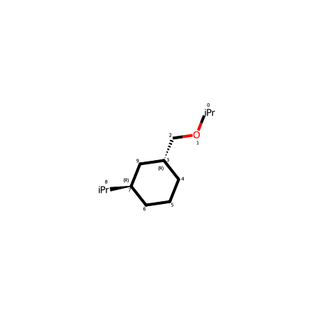 CC(C)OC[C@@H]1CCC[C@@H](C(C)C)C1